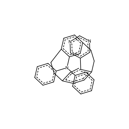 c1ccc(N(c2ccccc2)c2cc3ccc2CCc2ccc(c(-c4cncnc4)c2)CC3)cc1